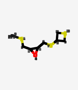 CCCSCC1OC1CSC1CSC1